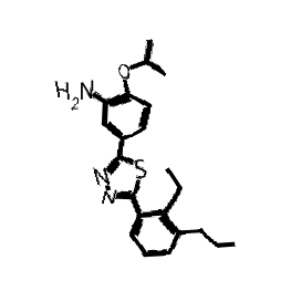 CCCc1cccc(-c2nnc(-c3ccc(OC(C)C)c(N)c3)s2)c1CC